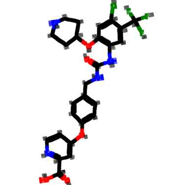 O=C(NCc1ccc(Oc2ccnc(C(=O)O)c2)cc1)Nc1cc(C(F)(F)F)c(Cl)cc1OC1CCNCC1